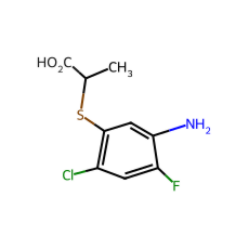 CC(Sc1cc(N)c(F)cc1Cl)C(=O)O